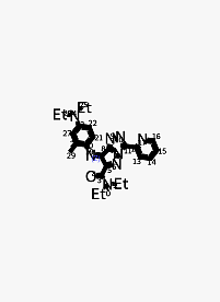 CCN(CC)C(=O)C1=Nn2c(nnc2-c2ccccn2)/C1=N\c1ccc(N(CC)CC)cc1C